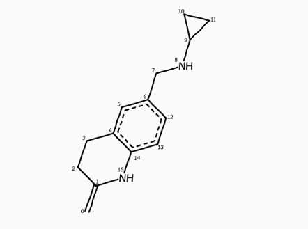 C=C1CCc2cc(CNC3CC3)ccc2N1